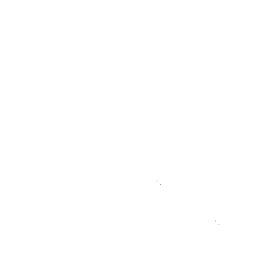 [O]c1ccc2nccc(N3CCC(CCCCc4ccccc4)CC3)c2c1